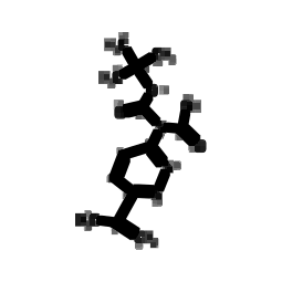 C=C(C)c1ccc(N(C(=O)O)C(=O)OC(C)(C)C)nn1